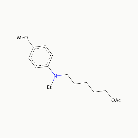 CCN(CCCCCOC(C)=O)c1ccc(OC)cc1